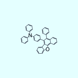 c1ccc(-c2c(-c3ccc(N(c4ccccc4)c4ccccc4)cc3)c3c4ccccc4oc3c3ccccc23)cc1